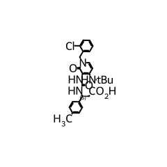 Cc1ccc([C@H](CC(=O)O)NC(=O)Nc2c(NC(C)(C)C)ccn(Cc3ccccc3Cl)c2=O)cc1